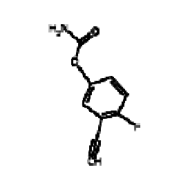 C#Cc1cc(OC(N)=O)ccc1F